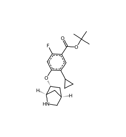 CC(C)(C)OC(=O)c1cc(C2CC2)c(O[C@@H]2C[C@H]3CN[C@@H]2C3)cc1F